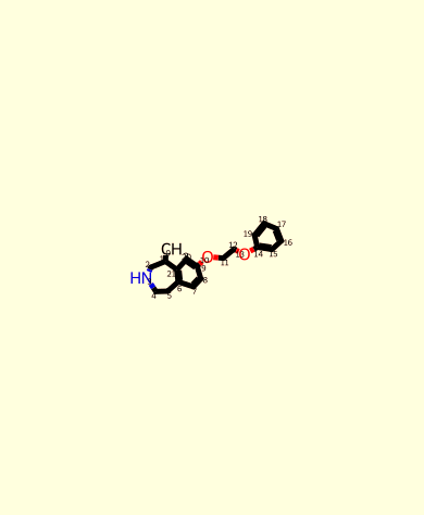 CC1CNCCc2ccc(OCCOc3ccccc3)cc21